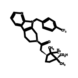 CC1(C)[C@@H](CC(=O)N2CCc3c(n(Cc4ccc(C(F)(F)F)cc4)c4ncccc34)C2)CC[C@@]1(C)C(=O)O